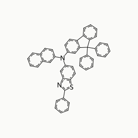 c1ccc(-c2nc3cc(N(c4ccc5c(c4)C(c4ccccc4)(c4ccccc4)c4ccccc4-5)c4ccc5ccccc5c4)ccc3s2)cc1